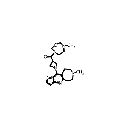 CN1CCc2nc3ccnn3c(N3CC(C(=O)N4CCCN(C)CC4)C3)c2CC1